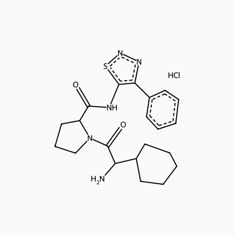 Cl.NC(C(=O)N1CCCC1C(=O)Nc1snnc1-c1ccccc1)C1CCCCC1